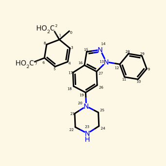 CC1(C(=O)O)C=CC=C(C(=O)O)C1.c1ccc(-n2ncc3ccc(N4CCNCC4)cc32)cc1